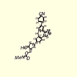 CNC(=O)OC[C@@H]1CN(c2ccc3c(c2)Cn2cc(-c4ccc(C#N)cc4)cc2-c2nncn2-3)C[C@H]1O